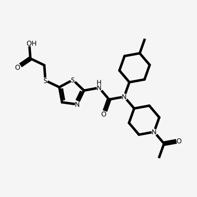 CC(=O)N1CCC(N(C(=O)Nc2ncc(SCC(=O)O)s2)C2CCC(C)CC2)CC1